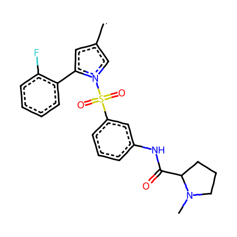 [CH2]c1cc(-c2ccccc2F)n(S(=O)(=O)c2cccc(NC(=O)C3CCCN3C)c2)c1